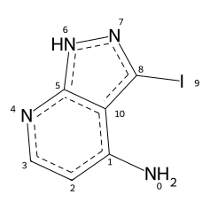 Nc1ccnc2[nH]nc(I)c12